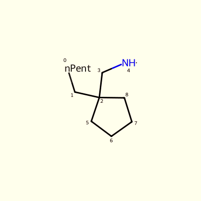 CCCCCCC1(C[NH])CCCC1